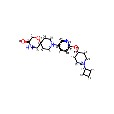 O=C1COC2(CCN(c3ccc(OC4CCN(C5CCC5)CC4)nc3)CC2)CN1